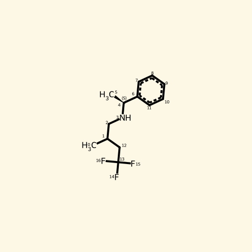 CC(CN[C@@H](C)c1ccccc1)CC(F)(F)F